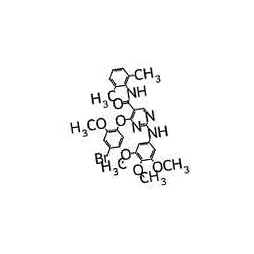 COc1cc(Br)ccc1Oc1nc(Nc2cc(OC)c(OC)c(OC)c2)ncc1C(=O)Nc1c(C)cccc1C